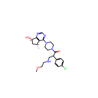 COCCNC[C@@H](C(=O)N1CCN(c2ncnc3c2[C@H](C)C[C@H]3O)CC1)c1ccc(Cl)cc1